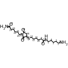 NCCCCCNC(=O)CCCCCSC1CC(=O)N(CCCCCC(N)=O)C1=O